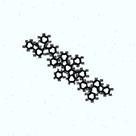 c1ccc(-c2c3c4cccc5c6c(-c7cccc(N(c8ccccc8)c8cccc9c8sc8ccccc89)c7)cccc6n(c3c(-c3ccccc3)c3c6cccc7c8c(-c9cccc(N(c%10ccccc%10)c%10cccc%11c%10sc%10ccccc%10%11)c9)cccc8n(c23)c76)c54)cc1